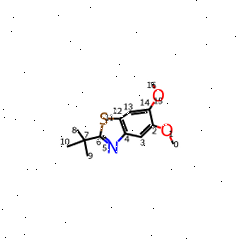 COc1cc2nc(C(C)(C)C)sc2cc1OC